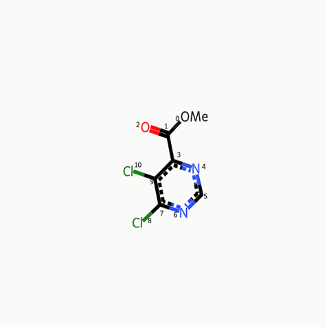 COC(=O)c1ncnc(Cl)c1Cl